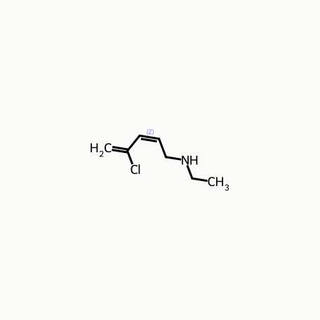 C=C(Cl)/C=C\CNCC